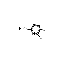 Fc1nc(C(F)(F)F)ccc1I